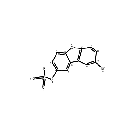 O=S(=O)(F)Oc1ccc2oc3ccc(Br)cc3c2c1